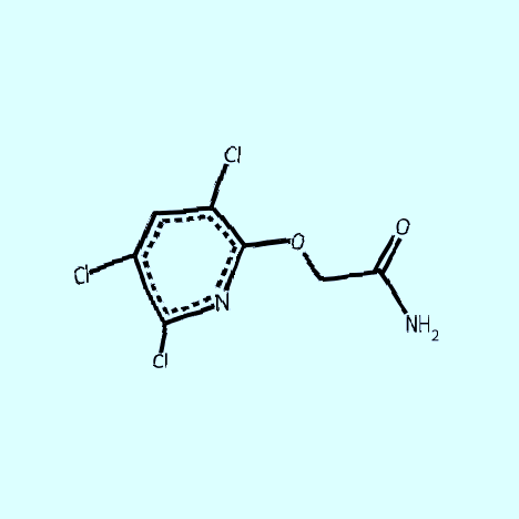 NC(=O)COc1nc(Cl)c(Cl)cc1Cl